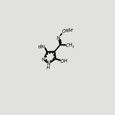 CON=C(C)c1c(C(C)(C)C)n[nH]c1O